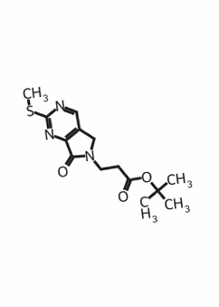 CSc1ncc2c(n1)C(=O)N(CCC(=O)OC(C)(C)C)C2